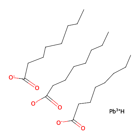 CCCCCCCC(=O)[O-].CCCCCCCC(=O)[O-].CCCCCCCC(=O)[O-].[PbH+3]